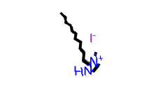 CCCCCCCCCCCc1[nH]cc[n+]1C.[I-]